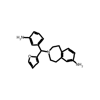 Nc1cccc(C(c2ccco2)N2CCc3ccc(N)cc3CC2)c1